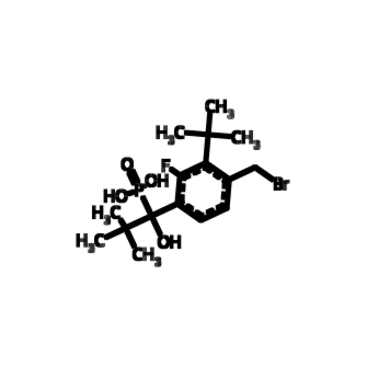 CC(C)(C)c1c(CBr)ccc(C(O)(C(C)(C)C)P(=O)(O)O)c1F